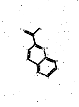 CC(=S)c1ccc2ccccc2n1